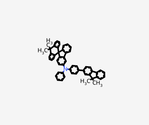 CC1(C)c2ccccc2-c2ccc(-c3ccc(N(c4ccccc4)c4ccc5c(c4)-c4ccccc4C54c5ccccc5C(C)(C)c5ccccc54)cc3)cc21